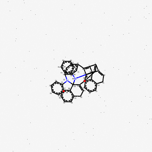 C1=C2C3=C4C5=C6C(=C3C26c2ccccc2C1)c1ccc(cc1)N(c1ccccc1)C1(C5=CCc2ccccc21)N4c1ccccc1